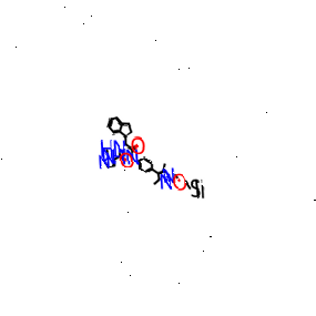 Cc1nn(COCC[Si](C)(C)C)c(C)c1-c1ccc(NC(=O)[C@@H](NC(=O)c2ccnn2C)[C@@H]2CCc3ccccc32)cc1